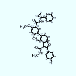 CNC(=O)c1c(-c2ccc(F)cc2)oc2ccc(-c3cc(C(=O)NC4(c5ncccn5)CC4)c(OC)cc3C)c(F)c12